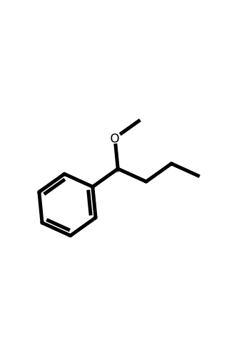 CCC[C](OC)c1ccccc1